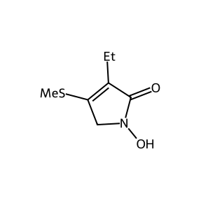 CCC1=C(SC)CN(O)C1=O